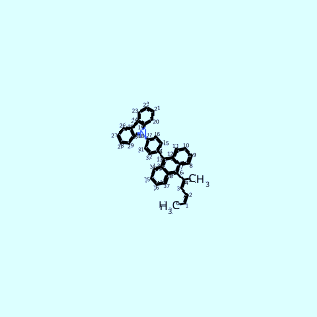 C/C=C\C=C(/C)c1c2ccccc2c(-c2ccc(-n3c4ccccc4c4ccccc43)cc2)c2ccccc12